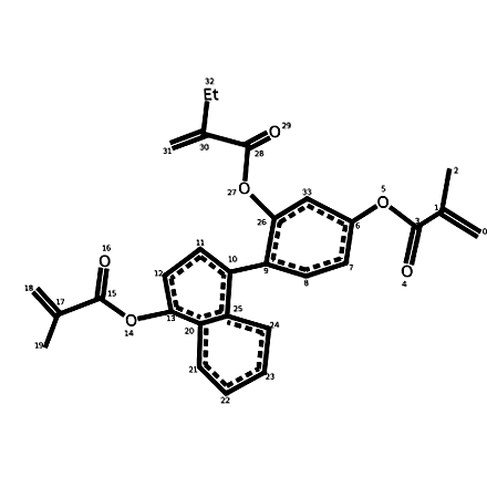 C=C(C)C(=O)Oc1ccc(-c2ccc(OC(=O)C(=C)C)c3ccccc23)c(OC(=O)C(=C)CC)c1